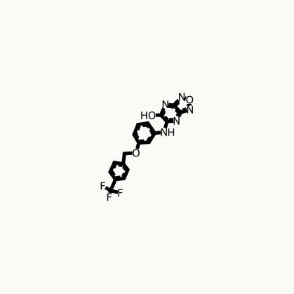 Oc1nc2nonc2nc1Nc1cccc(OCc2ccc(C(F)(F)F)cc2)c1